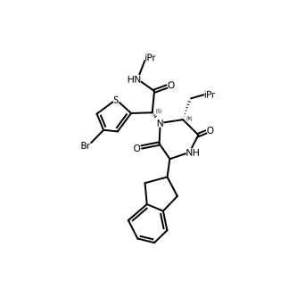 CC(C)C[C@@H]1C(=O)NC(C2Cc3ccccc3C2)C(=O)N1[C@@H](C(=O)NC(C)C)c1cc(Br)cs1